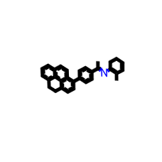 CC1=C(/N=C(\C)c2ccc(-c3ccc4c5c3ccc3cccc(c35)CC4)cc2)CCC=C1